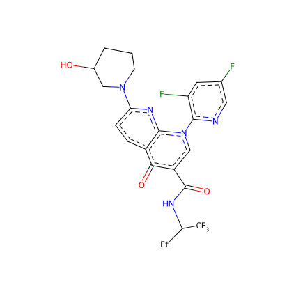 CCC(NC(=O)c1cn(-c2ncc(F)cc2F)c2nc(N3CCCC(O)C3)ccc2c1=O)C(F)(F)F